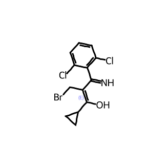 N=C(/C(CBr)=C(\O)C1CC1)c1c(Cl)cccc1Cl